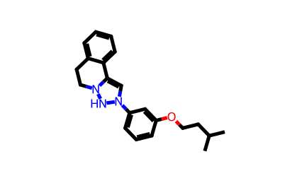 CC(C)CCOc1cccc(N2C=C3c4ccccc4CCN3N2)c1